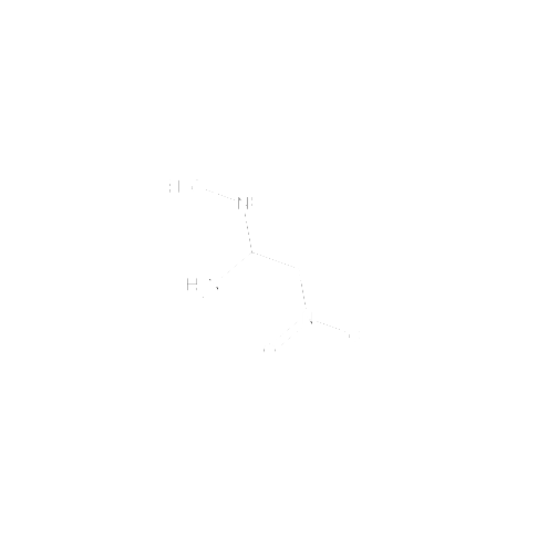 CNC(N)C[N+](=O)[O-]